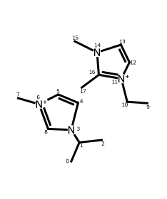 CC(C)n1cc[n+](C)c1.CC[n+]1ccn(C)c1C